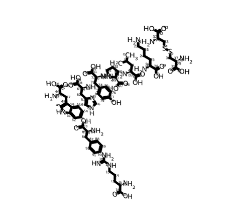 CC(C)C[C@H](N)C(=O)O.N=C(N)NCCC[C@H](N)C(=O)O.NCCCC[C@H](N)C(=O)O.N[C@@H](CSSC[C@H](N)C(=O)O)C(=O)O.N[C@@H](Cc1c[nH]c2ccccc12)C(=O)O.N[C@@H](Cc1c[nH]cn1)C(=O)O.N[C@@H](Cc1ccc(O)cc1)C(=O)O.N[C@@H](Cc1ccccc1)C(=O)O.O=C(O)[C@@H]1CCCN1